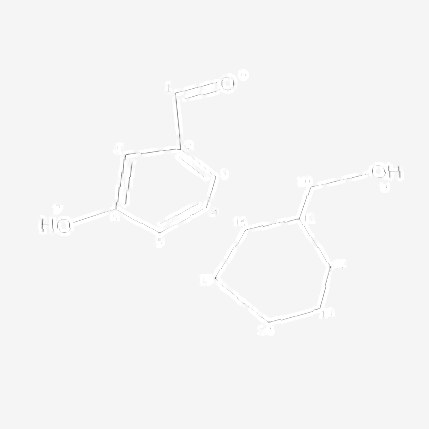 O=Cc1cccc(O)c1.OCC1CCCCC1